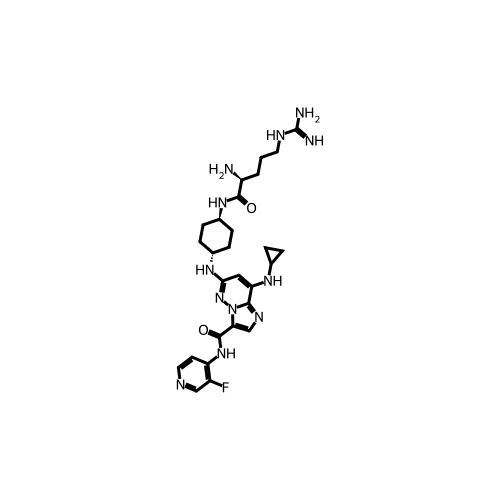 N=C(N)NCCC[C@H](N)C(=O)N[C@H]1CC[C@H](Nc2cc(NC3CC3)c3ncc(C(=O)Nc4ccncc4F)n3n2)CC1